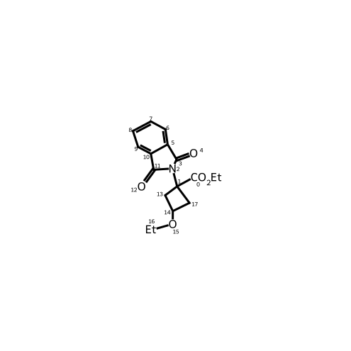 CCOC(=O)C1(N2C(=O)c3ccccc3C2=O)CC(OCC)C1